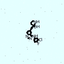 OC1(C#Cc2ccc3ncnc(Nc4ccc(F)c(Cl)c4)c3c2)CCCNC1